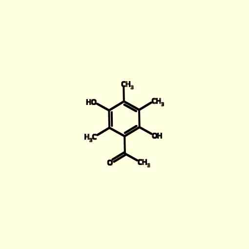 CC(=O)c1c(C)c(O)c(C)c(C)c1O